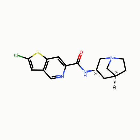 O=C(N[C@@H]1C[C@@H]2CCN(C2)C1)c1cc2sc(Cl)cc2cn1